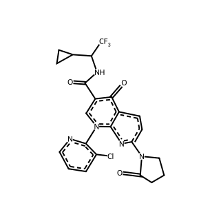 O=C(NC(C1CC1)C(F)(F)F)c1cn(-c2ncccc2Cl)c2nc(N3CCCC3=O)ccc2c1=O